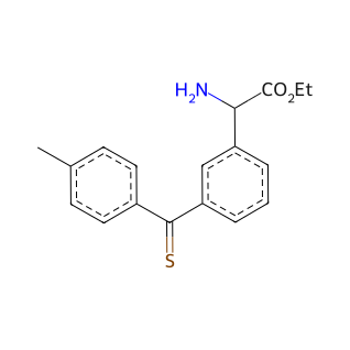 CCOC(=O)C(N)c1cccc(C(=S)c2ccc(C)cc2)c1